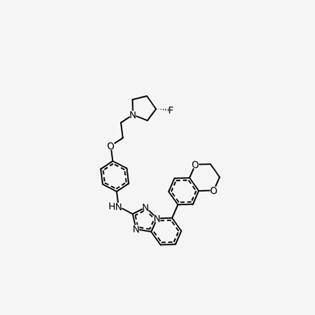 F[C@H]1CCN(CCOc2ccc(Nc3nc4cccc(-c5ccc6c(c5)OCCO6)n4n3)cc2)C1